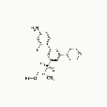 CCOC[C@@H](C)S(=O)(=O)c1cc(-c2cnc(N)cc2F)cc(N2CCOCC2)c1